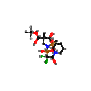 CC(=O)C(C)(CN(S(C)(=O)=O)S(=O)(=O)C(F)(F)C(=O)N1CCCCC1)C(=O)OC(C)(C)C